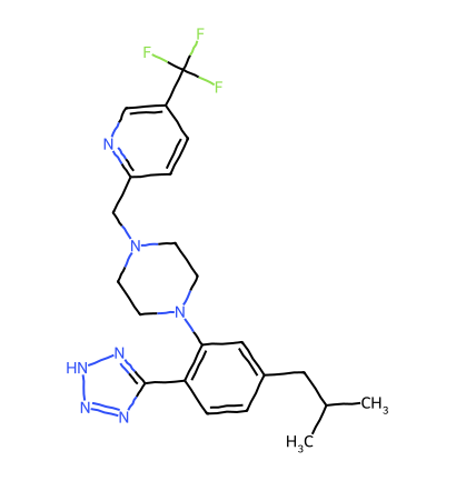 CC(C)Cc1ccc(-c2nn[nH]n2)c(N2CCN(Cc3ccc(C(F)(F)F)cn3)CC2)c1